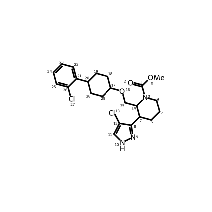 COC(=O)N1CCCC(c2n[nH]cc2Cl)C1COC1CCC(c2ccccc2Cl)CC1